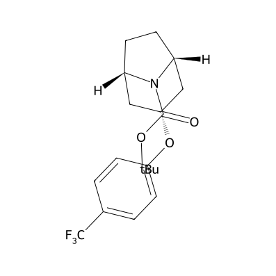 CC(C)(C)OC(=O)N1[C@@H]2CC[C@H]1C[C@@H](Oc1ccc(C(F)(F)F)cc1)C2